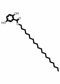 CCCCCCCCCCCCCCCCCCCCOC(=O)c1cc(O)ccc1O